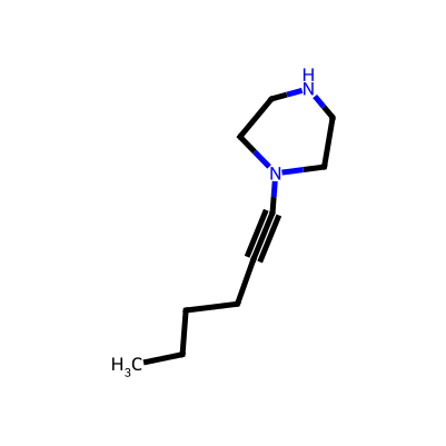 CCCCC#CN1CCNCC1